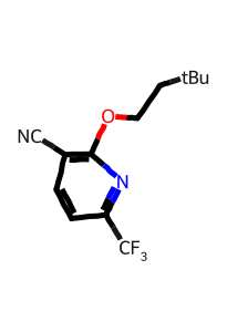 CC(C)(C)CCOc1nc(C(F)(F)F)ccc1C#N